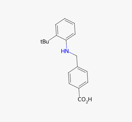 CC(C)(C)c1ccccc1NCc1ccc(C(=O)O)cc1